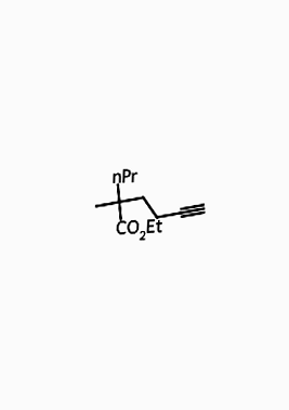 C#CCCC(C)(CCC)C(=O)OCC